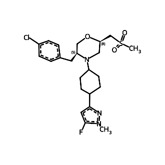 Cn1nc(C2CCC(N3C[C@H](CS(C)(=O)=O)OC[C@@H]3Cc3ccc(Cl)cc3)CC2)cc1F